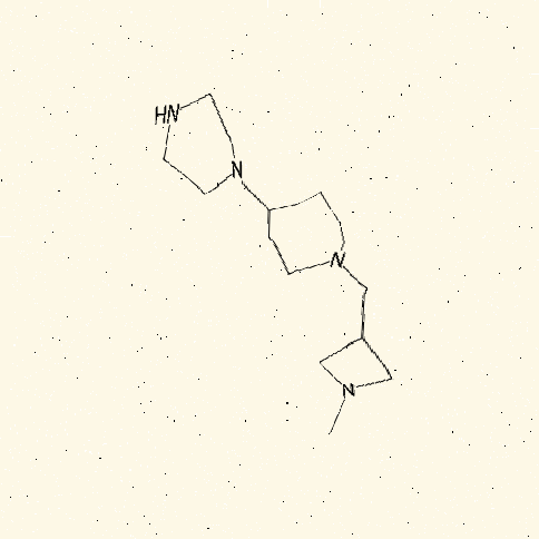 CN1CC(CN2CCC(N3CCNCC3)CC2)C1